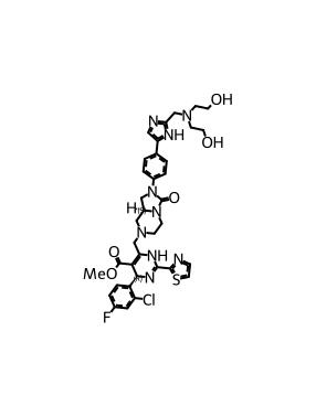 COC(=O)C1=C(CN2CCN3C(=O)N(c4ccc(-c5cnc(CN(CCO)CCO)[nH]5)cc4)C[C@@H]3C2)NC(c2nccs2)=N[C@H]1c1ccc(F)cc1Cl